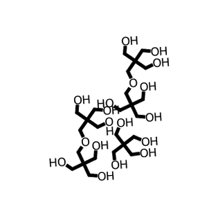 OCC(CO)(CO)CO.OCC(CO)(CO)COCC(CO)(CO)CO.OCC(CO)(CO)COCC(CO)(CO)CO